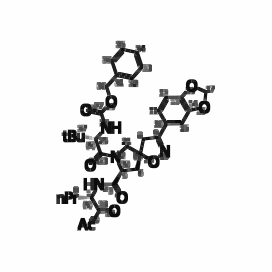 CCC[C@H](NC(=O)[C@@H]1C[C@]2(CC(c3ccc4c(c3)OCO4)=NO2)CN1C(=O)[C@@H](NC(=O)OCc1ccccc1)C(C)(C)C)C(=O)C(C)=O